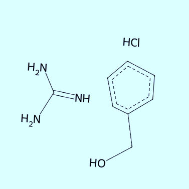 Cl.N=C(N)N.OCc1ccccc1